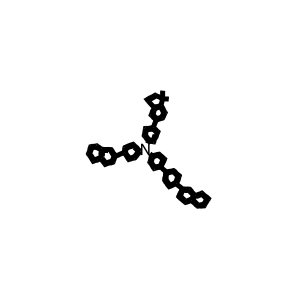 CC1(C)C=Cc2cc(-c3ccc(N(c4ccc(-c5ccc(-c6ccc7ccccc7c6)cc5)cc4)c4ccc(-c5ccc6ccccc6c5)cc4)cc3)ccc21